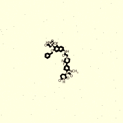 Cn1c(=O)n(C2CCC(=O)NC2=O)c2ccc(C3CCN(CC(=O)Nc4ccc5c(F)c(N6CC(=O)NS6(=O)=O)c(OCc6ccccc6)cc5c4)CC3(F)F)cc21